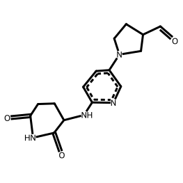 O=CC1CCN(c2ccc(NC3CCC(=O)NC3=O)nc2)C1